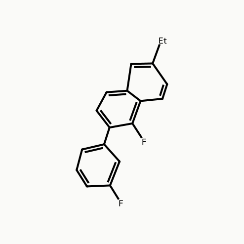 CCc1ccc2c(F)c(-c3cccc(F)c3)ccc2c1